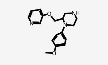 COc1ccc(N2CCNCC2COc2cccnc2)cc1